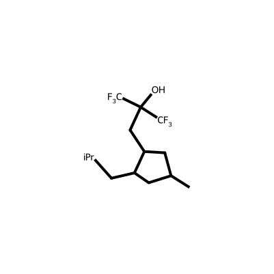 CC(C)CC1CC(C)CC1CC(O)(C(F)(F)F)C(F)(F)F